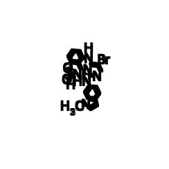 Cn1ccc2ccc(Nc3ncc(Br)c(Nc4ccccc4CN[SH](=O)=O)n3)cc21